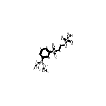 CON(OC)c1cccc(S(=O)(=O)CCOS(=O)(=O)O)c1